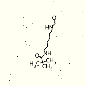 CC(C)(C)C(=O)NCCCCCCNC=O